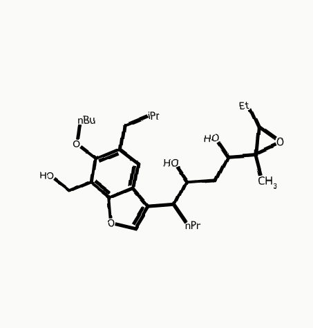 CCCCOc1c(CC(C)C)cc2c(C(CCC)C(O)CC(O)C3(C)OC3CC)coc2c1CO